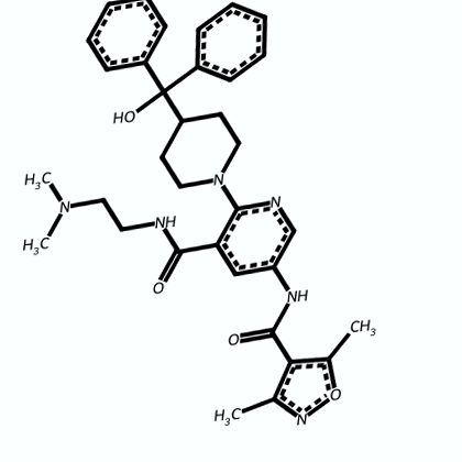 Cc1noc(C)c1C(=O)Nc1cnc(N2CCC(C(O)(c3ccccc3)c3ccccc3)CC2)c(C(=O)NCCN(C)C)c1